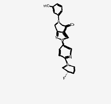 O=C1c2cn(-c3ccc(N4CC[C@H](F)C4)nc3)nc2CN1c1cccc(O)c1